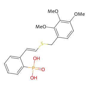 COc1ccc(CSC=Cc2ccccc2P(=O)(O)O)c(OC)c1OC